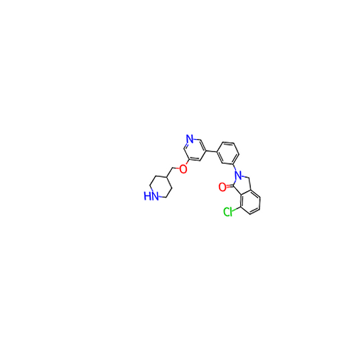 O=C1c2c(Cl)cccc2CN1c1cccc(-c2cncc(OCC3CCNCC3)c2)c1